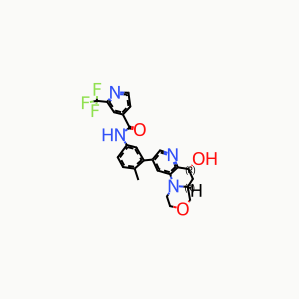 Cc1ccc(NC(=O)c2ccnc(C(F)(F)F)c2)cc1-c1cnc2c(c1)N1CCOC[C@H]1C[C@H]2O